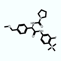 COCc1ccc([C@@H](NC(=O)N2CCCC2)C(=O)Nc2ccc(S(C)(C)C)c(F)c2)cc1